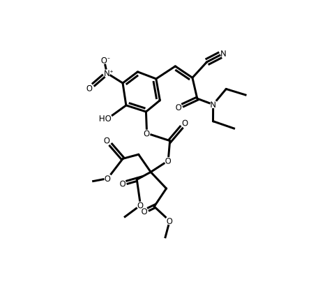 CCN(CC)C(=O)C(C#N)=Cc1cc(OC(=O)OC(CC(=O)OC)(CC(=O)OC)C(=O)OC)c(O)c([N+](=O)[O-])c1